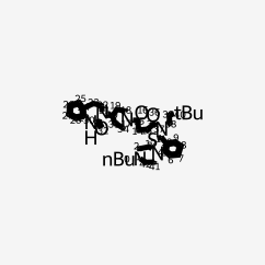 CCCCN1CCN(c2ccccc2C2SC(CC(=O)N3CCC(N4CCc5ccccc5NC4=O)CC3)C(=O)N2CCC(C)(C)C)CC1